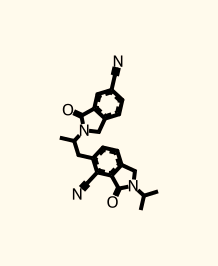 CC(C)N1Cc2ccc(CC(C)N3Cc4ccc(C#N)cc4C3=O)c(C#N)c2C1=O